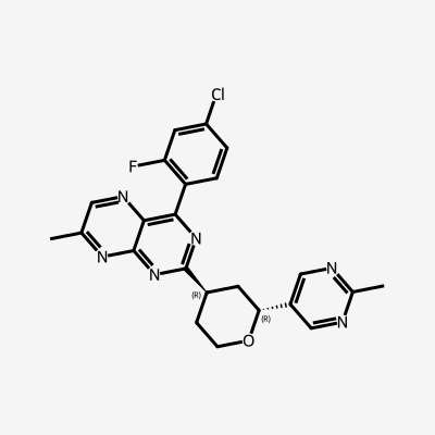 Cc1cnc2c(-c3ccc(Cl)cc3F)nc([C@@H]3CCO[C@@H](c4cnc(C)nc4)C3)nc2n1